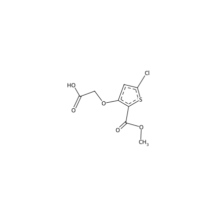 COC(=O)c1sc(Cl)cc1OCC(=O)O